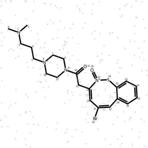 CN(C)CCCN1CCN(C(=O)C/C2=C/C(Br)=C\c3ccccc3S[N+]2=O)CC1